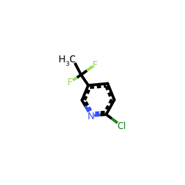 CC(F)(F)c1ccc(Cl)nc1